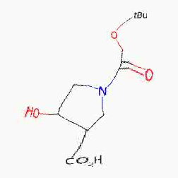 CC(C)(C)OC(=O)N1CC(O)C(C(=O)O)C1